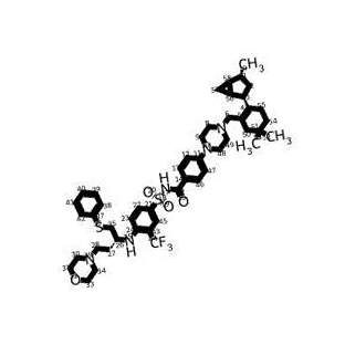 C[C@H]1C[C@@H](C2=C(CN3CCN(c4ccc(C(=O)NS(=O)(=O)c5ccc(N[C@H](CCN6CCOCC6)CSc6ccccc6)c(C(F)(F)F)c5)cc4)CC3)CC(C)(C)CC2)C2CC21